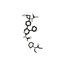 CCC(=O)N(CC)[C@H]1CC[C@H](CC(=O)Nc2cc(-c3ccccc3)c(-c3ccc([C@]4(NC(=O)O)C[C@@](C)(O)C4)cc3)cn2)CC1